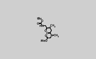 COC(=O)CN(C)C(=O)CN(C)C(=O)CNC(=O)OC(C)(C)C